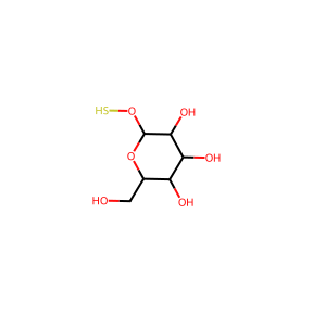 OCC1OC(OS)C(O)C(O)C1O